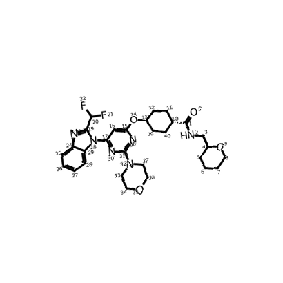 O=C(NCC1CCCCO1)[C@H]1CC[C@H](Oc2cc(-n3c(C(F)F)nc4ccccc43)nc(N3CCOCC3)n2)CC1